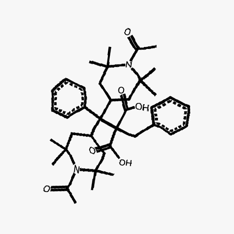 CC(=O)N1C(C)(C)CC(C(c2ccccc2)(C2CC(C)(C)N(C(C)=O)C(C)(C)C2)C(Cc2ccccc2)(C(=O)O)C(=O)O)CC1(C)C